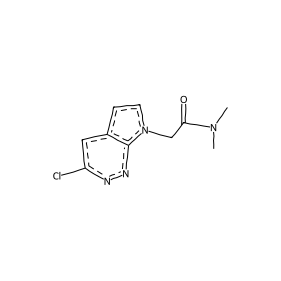 CN(C)C(=O)Cn1ccc2cc(Cl)nnc21